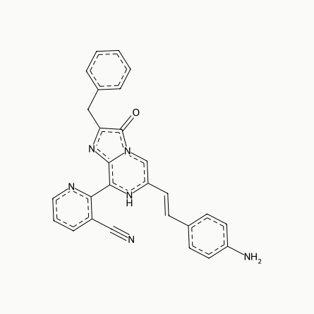 N#Cc1cccnc1-c1[nH]c(C=Cc2ccc(N)cc2)cn2c(=O)c(Cc3ccccc3)nc1-2